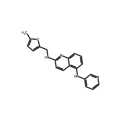 Cc1ccc(CNc2ccc3c(Nc4cccnc4)cccc3n2)o1